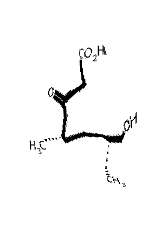 C[C@H](C(=O)CC(=O)O)[C@@H](C)O